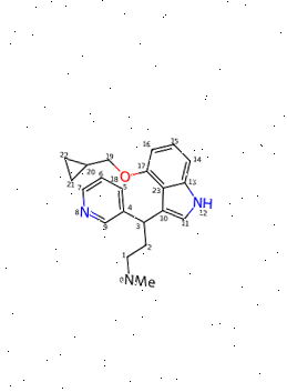 CNCCC(c1cccnc1)c1c[nH]c2cccc(OCC3CC3)c12